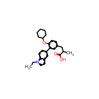 CCn1ccc2cc(-c3cc(CC(C)C(=O)O)ccc3OC3CCCCC3)ccc21